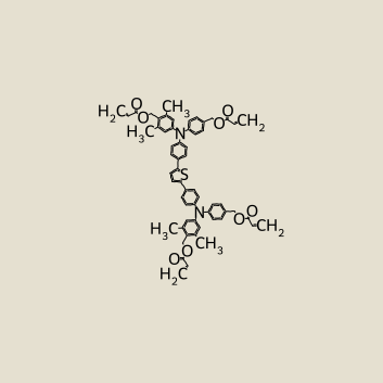 C=CC(=O)OCc1ccc(N(c2ccc(-c3ccc(-c4ccc(N(c5ccc(COC(=O)C=C)cc5)c5cc(C)c(COC(=O)C=C)c(C)c5)cc4)s3)cc2)c2cc(C)c(COC(=O)C=C)c(C)c2)cc1